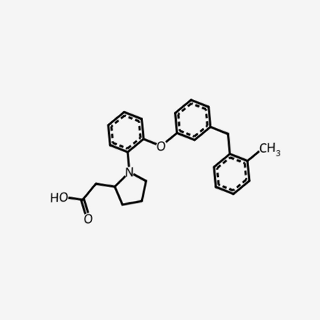 Cc1ccccc1Cc1cccc(Oc2ccccc2N2CCCC2CC(=O)O)c1